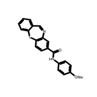 COc1ccc(NC(=O)c2ccc3c(c2)N=Cc2ccccc2S3)cc1